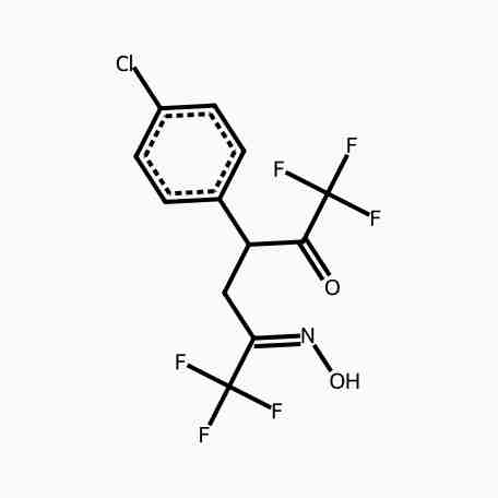 O=C(C(CC(=NO)C(F)(F)F)c1ccc(Cl)cc1)C(F)(F)F